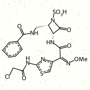 CO/N=C(\C(=O)N[C@H]1C(=O)N(S(=O)(=O)O)[C@H]1CNC(=O)c1ccccc1)c1csc(NC(=O)CCl)n1